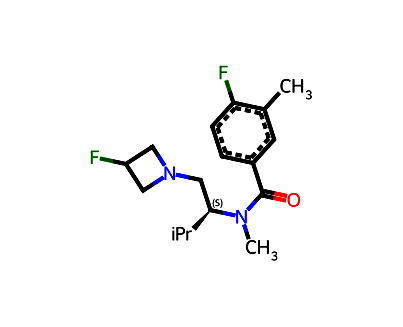 Cc1cc(C(=O)N(C)[C@H](CN2CC(F)C2)C(C)C)ccc1F